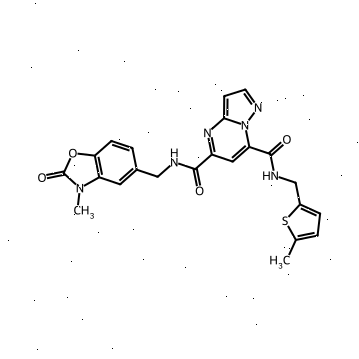 Cc1ccc(CNC(=O)c2cc(C(=O)NCc3ccc4oc(=O)n(C)c4c3)nc3ccnn23)s1